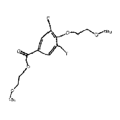 CC(C)(C)OCCOC(=O)c1cc(F)c(OCCOC(C)(C)C)c(F)c1